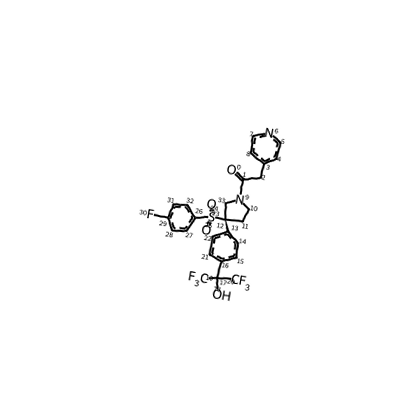 O=C(Cc1ccncc1)N1CC[C@](c2ccc(C(O)(C(F)(F)F)C(F)(F)F)cc2)(S(=O)(=O)c2ccc(F)cc2)C1